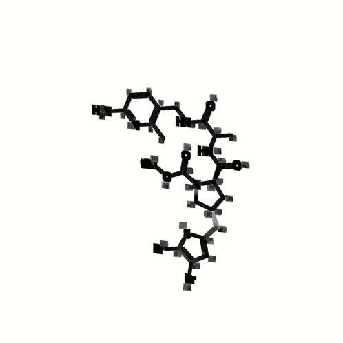 Cc1nc(N)ccc1CNC(=O)C(C)NC(=O)[C@H]1C[C@H](Cc2cc(Br)c(Br)s2)CN1C(=O)OC(C)(C)C